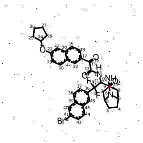 NC1CC2CCC(C1)N2C(=O)[C@H](NC(=O)C(=O)c1ccc2cc(OC3CCCC3)ccc2c1)C(F)(F)c1ccc2cc(Br)ccc2c1